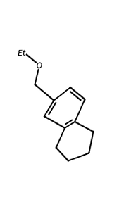 [CH2]COCc1ccc2c(c1)CCCC2